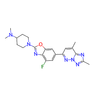 Cc1nc2c(C)cc(-c3cc(F)c4nc(N5CCC(N(C)C)CC5)oc4c3)nn2n1